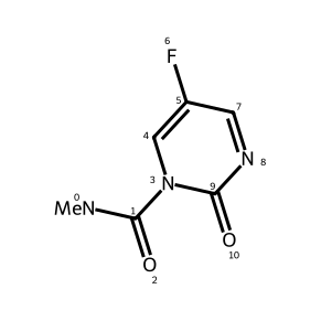 CNC(=O)n1cc(F)cnc1=O